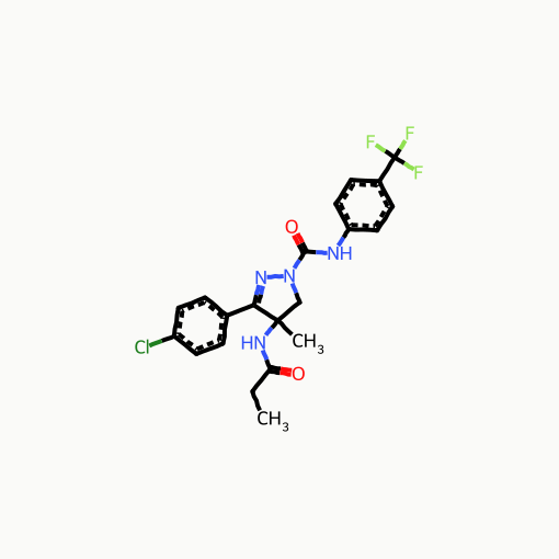 CCC(=O)NC1(C)CN(C(=O)Nc2ccc(C(F)(F)F)cc2)N=C1c1ccc(Cl)cc1